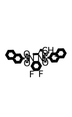 C=C[C@@H]1CN(S(=O)(=O)c2ccc3ccccc3c2)c2cc(F)c(F)cc2N1S(=O)(=O)c1ccc2ccccc2c1